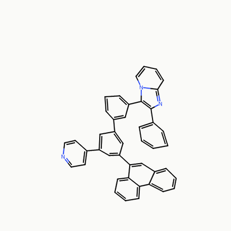 c1ccc(-c2nc3ccccn3c2-c2cccc(-c3cc(-c4ccncc4)cc(-c4cc5ccccc5c5ccccc45)c3)c2)cc1